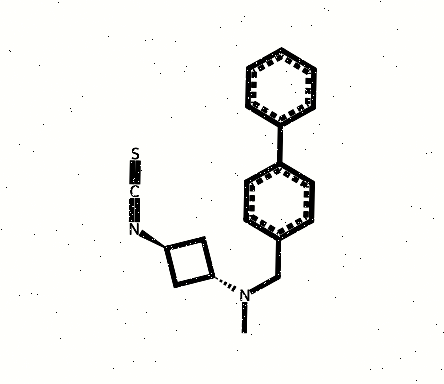 CN(Cc1ccc(-c2ccccc2)cc1)[C@H]1C[C@H](N=C=S)C1